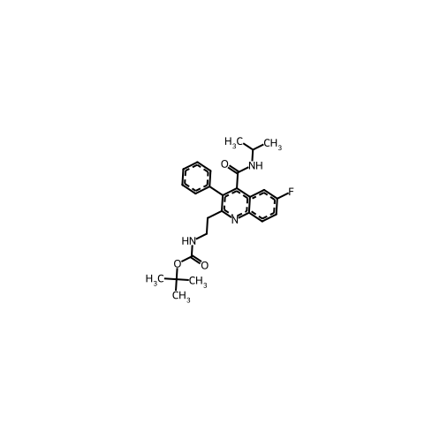 CC(C)NC(=O)c1c(-c2ccccc2)c(CCNC(=O)OC(C)(C)C)nc2ccc(F)cc12